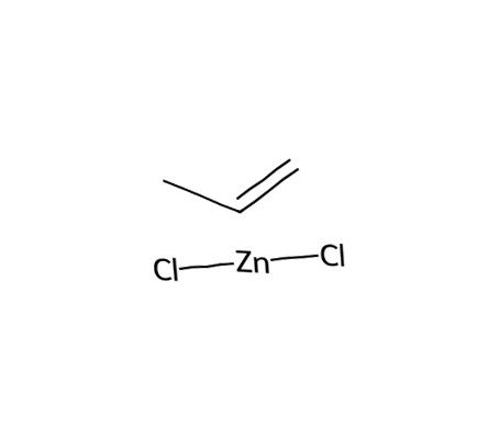 C=CC.[Cl][Zn][Cl]